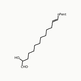 CCCCCC=CCCCCCCCCCC(O)[C]=O